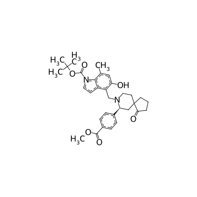 COC(=O)c1ccc([C@@H]2CC3(CCCC3=O)CCN2Cc2c(O)cc(C)c3c2ccn3C(=O)OC(C)(C)C)cc1